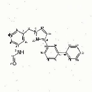 O=CNc1cncc(Cn2ccc(-c3cccc(-c4ccccc4)c3)n2)c1